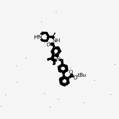 Cc1c(C)n(Cc2ccc(-c3ccccc3C(=O)OC(C)(C)C)cc2)c2ccc(C(=O)N[C@H](C)C3CCNCC3)cc12